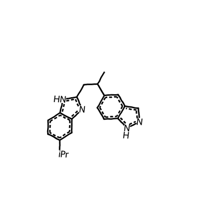 CC(C)c1ccc2[nH]c(CC(C)c3ccc4[nH]ncc4c3)nc2c1